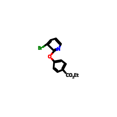 CCOC(=O)c1ccc(Oc2ncccc2Br)cc1